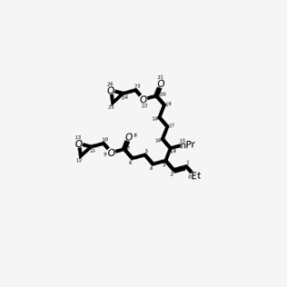 CCC=CC(CCCC(=O)OCC1CO1)C(CCC)CCCCC(=O)OCC1CO1